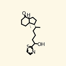 CC(CCCC(O)c1nccs1)[C@H]1CC[C@H]2C(=O)CCC[C@]12C